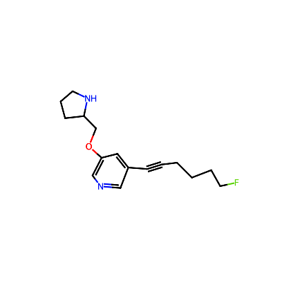 FCCCCC#Cc1cncc(OCC2CCCN2)c1